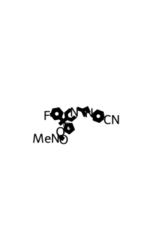 CNC(=O)O[C@H]1CC=C[C@@H]1C(C)(c1cccc(F)c1)C1CCN(CC2CN(c3ccc(C#N)cc3)C2)CC1